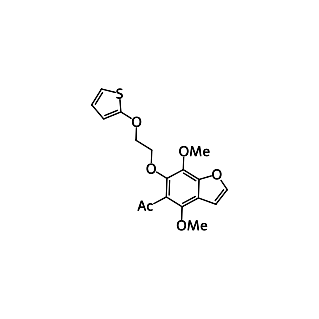 COc1c(C(C)=O)c(OCCOc2cccs2)c(OC)c2occc12